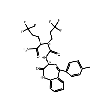 Cc1ccc(C2=N[C@H](NC(=O)[C@H](CCC(F)(F)F)[C@H](CCC(F)(F)F)C(N)=O)C(=O)Nc3ccccc32)cc1